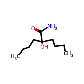 CCCCC(O)(CCCC)C(N)=O